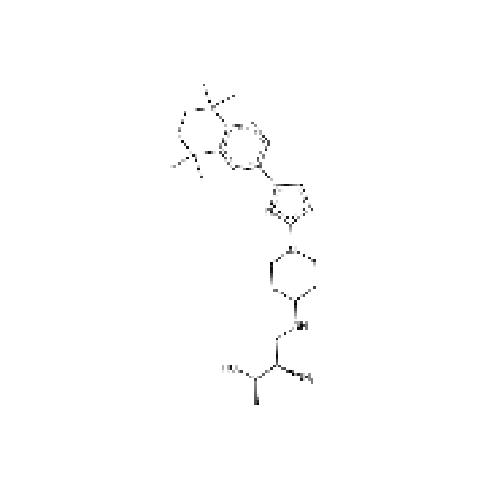 C[C@@H](O)[C@H](N)CNC1CCN(c2nc(-c3ccc4c(c3)C(C)(C)CCC4(C)C)cs2)CC1